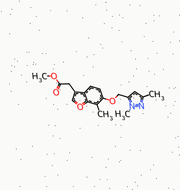 COC(=O)Cc1coc2c(C)c(OCc3cc(C)nn3C)ccc12